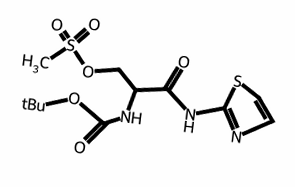 CC(C)(C)OC(=O)NC(COS(C)(=O)=O)C(=O)Nc1nccs1